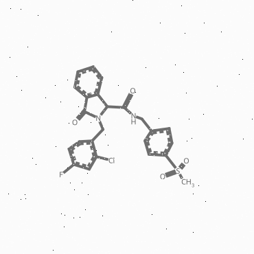 CS(=O)(=O)c1ccc(CNC(=O)C2c3ccccc3C(=O)N2Cc2ccc(F)cc2Cl)cc1